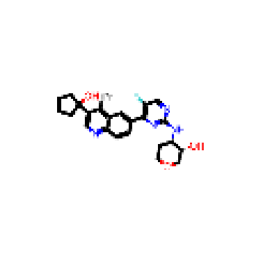 CC(C)c1c(C2(O)CCCC2)cnc2ccc(-c3nc(N[C@@H]4CCOC[C@H]4O)ncc3F)cc12